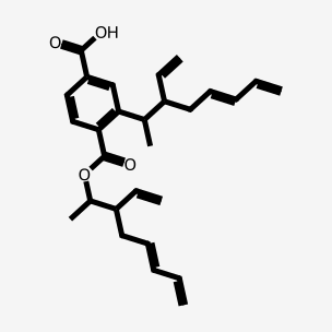 C=CC=CCC(C=C)C(C)OC(=O)c1ccc(C(=O)O)cc1C(C)C(C=C)CC=CC=C